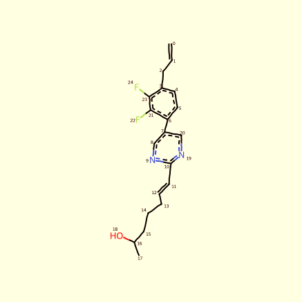 C=CCc1ccc(-c2cnc(C=CCCCC(C)O)nc2)c(F)c1F